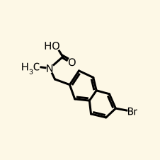 CN(Cc1ccc2cc(Br)ccc2c1)C(=O)O